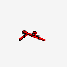 CCCCCCCCCCCCCCC(O)CN(CCCCCCCCCCCCN(CCCNC(=O)OC(C)(C)C)CC(O)CCCCCCCCCCCCCC)CCCNC(=O)OC(C)(C)C